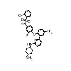 NC1CCC(Nc2nccc(-c3cc(C(F)(F)F)ccc3Oc3ccc(NS(=O)(=O)c4ccccc4Cl)cc3F)n2)CC1